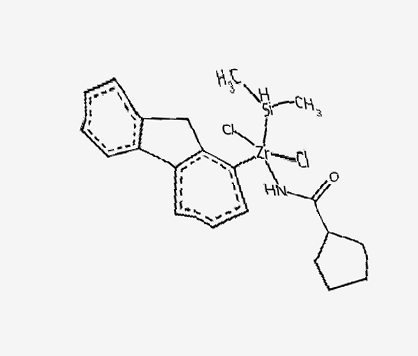 C[SiH](C)[Zr]([Cl])([Cl])([NH]C(=O)C1CCCC1)[c]1cccc2c1Cc1ccccc1-2